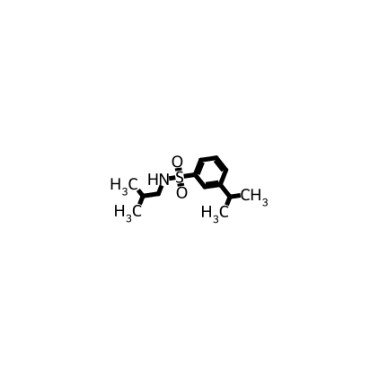 CC(C)CNS(=O)(=O)c1cccc(C(C)C)c1